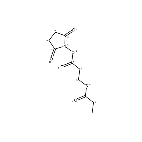 CCC(=O)SCCC(=O)ON1C(=O)CCC1=O